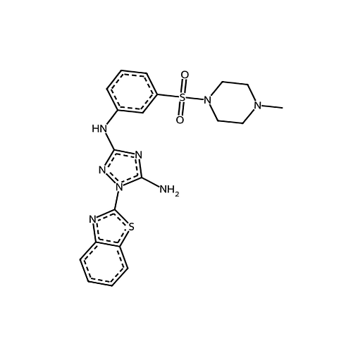 CN1CCN(S(=O)(=O)c2cccc(Nc3nc(N)n(-c4nc5ccccc5s4)n3)c2)CC1